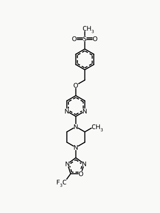 CC1CN(c2noc(C(F)(F)F)n2)CCN1c1ncc(OCc2ccc(S(C)(=O)=O)cc2)cn1